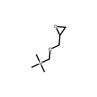 C[Si](C)(C)COCC1CO1